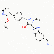 CCOc1ncccc1-c1ccc(-c2nn(C)c(-c3nc4ccc(CN)cc4[nH]3)c2O)cc1